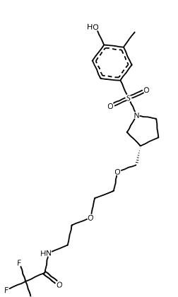 Cc1cc(S(=O)(=O)N2CC[C@H](COCCOCCNC(=O)C(F)(F)F)C2)ccc1O